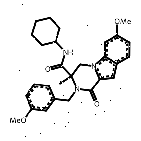 COc1cccc(CN2C(=O)c3cc4ccc(OC)cc4n3CC2(C)C(=O)NC2CCCCC2)c1